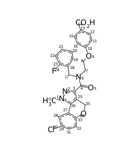 Cn1nc(C(=O)N(CCOc2ccc(C(=O)O)cc2)Cc2ccccc2F)c2c1-c1cc(Cl)ccc1OC2